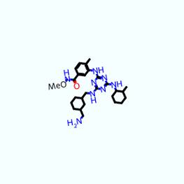 CONC(=O)c1ccc(C)c(Nc2nc(NCC3CCCC(CN)C3)nc(NC3CCCCC3C)n2)c1